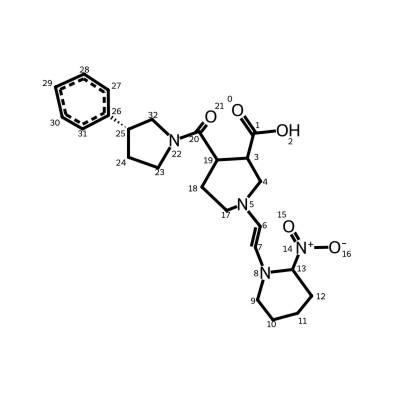 O=C(O)C1CN(C=CN2CCCCC2[N+](=O)[O-])CCC1C(=O)N1CC[C@H](c2ccccc2)C1